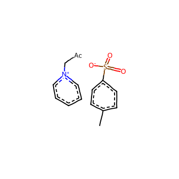 CC(=O)C[n+]1ccccc1.Cc1ccc(S(=O)(=O)[O-])cc1